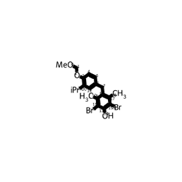 COCOc1ccc(Cc2c(C)c(Br)c(O)c(Br)c2C)cc1C(C)C